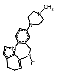 CN1CCN(c2ccc3c(c2)CN(Cl)C2=CCCc4ccn-3c42)CC1